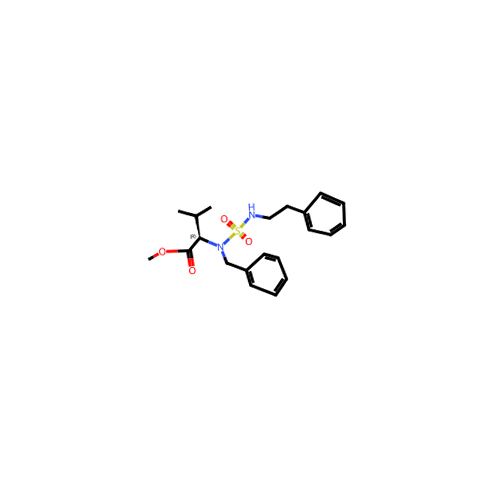 COC(=O)[C@@H](C(C)C)N(Cc1ccccc1)S(=O)(=O)NCCc1ccccc1